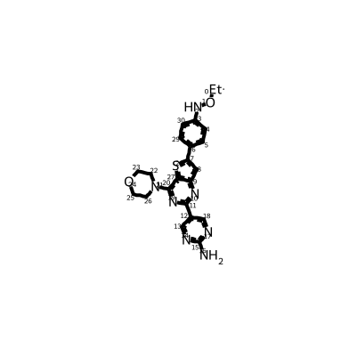 C[CH]ONc1ccc(-c2cc3nc(-c4cnc(N)nc4)nc(N4CCOCC4)c3s2)cc1